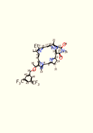 CCC1=C(C)c2cc3[nH]c(cc4nc(c5c6[nH]c(cc1n2)c(C)c6C(=O)N(C)C5=O)C[C@@H]4C)c(C)c3C(C)OCc1cc(C(F)(F)F)cc(C(F)(F)F)c1